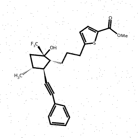 COC(=O)c1ccc(CCC[C@@H]2[C@@H](C#Cc3ccccc3)[C@H](C)C[C@@]2(O)C(F)(F)F)s1